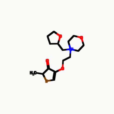 CC1SC=C(OCC[N+]2(CC3CCCO3)CCOCC2)C1=O